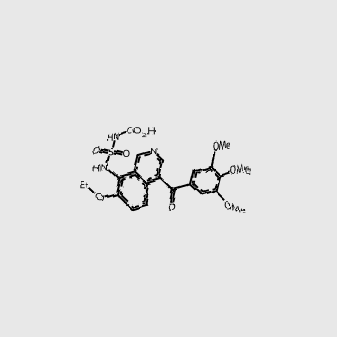 CCOc1ccc2c(C(=O)c3cc(OC)c(OC)c(OC)c3)cncc2c1NS(=O)(=O)NC(=O)O